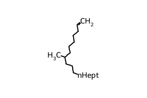 C=CCCCCCC(C)CCCCCCCCCC